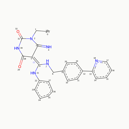 CC(C)CN1C(=N)/C(=C(\NCc2ccc(-c3ccccn3)cc2)Nc2ccccc2)C(=O)NC1=O